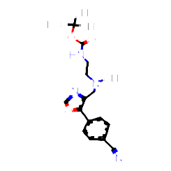 CN(CCNC(=O)OC(C)(C)C)Cc1ncoc1-c1ccc(C#N)cc1